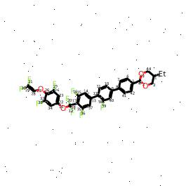 CCC1COC(c2ccc(-c3ccc(-c4cc(F)c(C(F)(F)Oc5cc(F)c(OC=C(F)F)c(F)c5)c(F)c4)c(F)c3)cc2)OC1